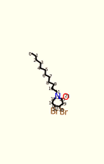 CCCCCCCCCCCCN1CCC(Br)C(Br)CC1=O